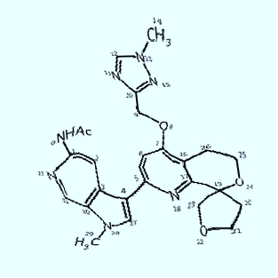 CC(=O)Nc1cc2c(-c3cc(OCc4ncn(C)n4)c4c(n3)C3(CCOC3)OCC4)cn(C)c2cn1